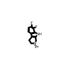 CC(C)N1CCc2c([nH]c3c(F)c(F)ccc23)C1